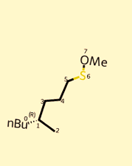 CCCC[C@@H](C)CCCSOC